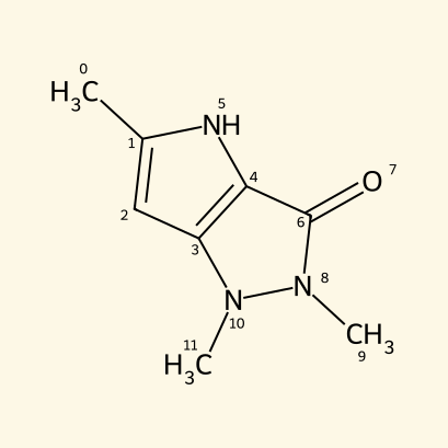 Cc1cc2c([nH]1)c(=O)n(C)n2C